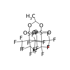 CC(OS(=O)(=O)C(C(F)(F)F)(C(F)(F)F)C(F)(F)F)OS(=O)(=O)C(C(F)(F)F)(C(F)(F)F)C(F)(F)F